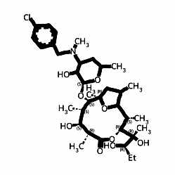 CC[C@@H](O)[C@@](C)(O)[C@@H]1OC(=O)[C@H](C)[C@@H](O)[C@H](C)[C@H](O[C@@H]2OC(C)CC(N(C)Cc3ccc(Cl)cc3)C2O)[C@@]2(C)CC(C)C(O2)[C@@H]1C